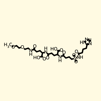 COCCOCCNC(=O)CCC(NC(=O)CCC(NC(=O)CCCS(=O)(=O)NC(=O)CCCc1nnn[nH]1)C(=O)O)C(=O)O